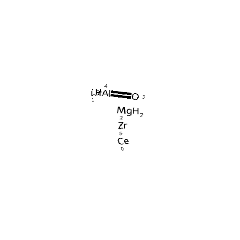 [Ce].[La].[MgH2].[O]=[AlH].[Zr]